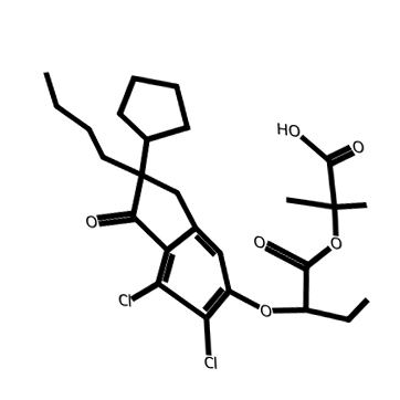 CCCCC1(C2CCCC2)Cc2cc(OC(CC)C(=O)OC(C)(C)C(=O)O)c(Cl)c(Cl)c2C1=O